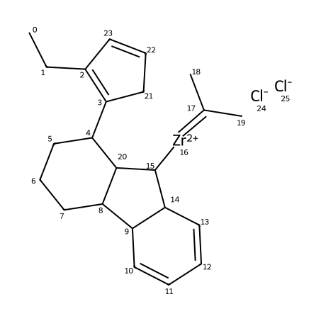 CCC1=C(C2CCCC3C4C=CC=CC4[CH]([Zr+2]=[C](C)C)C23)CC=C1.[Cl-].[Cl-]